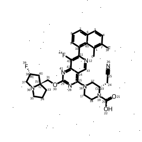 Cc1c(F)ccc2cccc(-c3ncc4c(N5CCN(C(=O)O)[C@@H](CC#N)C5)nc(OC[C@@]56CCCN5C[C@H](F)C6)nc4c3F)c12